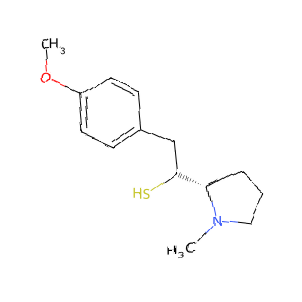 COc1ccc(CC(S)[C@@H]2CCCN2C)cc1